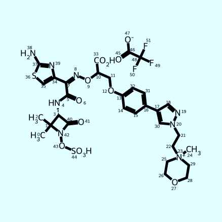 CC1(C)[C@H](NC(=O)/C(=N\OC(COc2ccc(-c3cnn(CC[N+]4(C)CCOCC4)c3)cc2)C(=O)O)c2csc(N)n2)C(=O)N1OS(=O)(=O)O.O=C([O-])C(F)(F)F